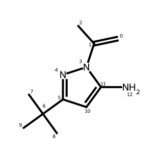 C=C(C)n1nc(C(C)(C)C)cc1N